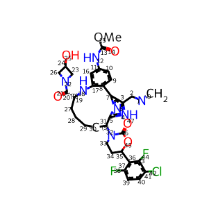 C=NCc1[nH]c2nc1-c1ccc(NC(=O)OC)cc1N[C@@H](C(=O)N1CC(O)C1)CCCC[C@@H]2N1CCC(c2c(F)ccc(Cl)c2F)OC1=O